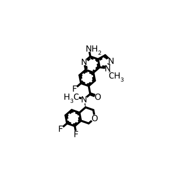 CN(C(=O)c1cc2c(cc1F)nc(N)c1cnn(C)c12)[C@@H]1COCc2c1ccc(F)c2F